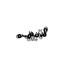 COc1cc2c(Oc3ccc(NC(=O)c4cccc(N5CCOCC5)n4)nc3)ccnc2cc1OCCCN1CCOCC1